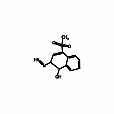 CS(=O)(=O)C1=CC(N=N)C(O)c2ccccc21